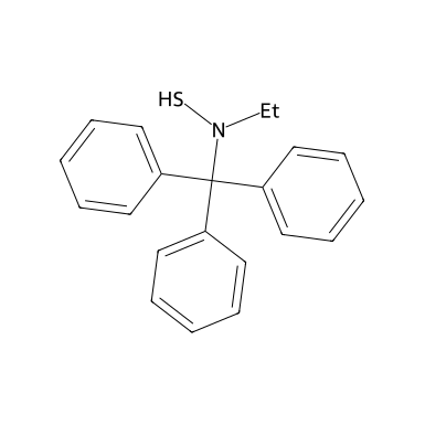 CCN(S)C(c1ccccc1)(c1ccccc1)c1ccccc1